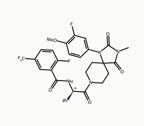 COc1ccc(N2C(=O)N(C)C(=O)C23CCN(C(=O)[C@H](NC(=O)c2cc(C(F)(F)F)ccc2F)C(C)C)CC3)cc1F